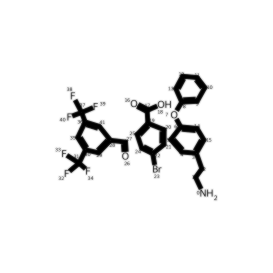 NCCc1ccc(Oc2ccccc2)cc1.O=C(O)c1ccc(Br)cc1.O=Cc1cc(C(F)(F)F)cc(C(F)(F)F)c1